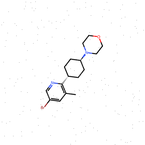 Cc1cc(Br)cnc1[C@H]1CC[C@H](N2CCOCC2)CC1